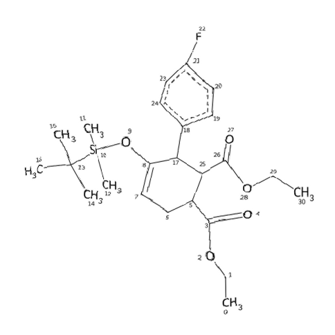 CCOC(=O)C1CC=C(O[Si](C)(C)C(C)(C)C)C(c2ccc(F)cc2)C1C(=O)OCC